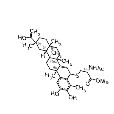 C=C(O)[C@]1(C)CC[C@]2(C)CC[C@]3(C)C4=CC(SC[C@H](NC(C)=O)C(=O)OC)c5c(cc(O)c(O)c5C)[C@]4(C)CC[C@@]3(C)[C@@H]2C1